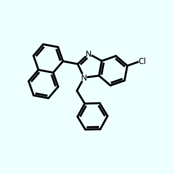 Clc1ccc2c(c1)nc(-c1cccc3ccccc13)n2Cc1ccccc1